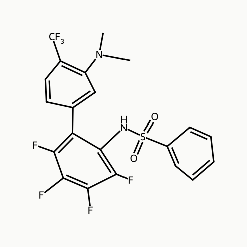 CN(C)c1cc(-c2c(F)c(F)c(F)c(F)c2NS(=O)(=O)c2ccccc2)ccc1C(F)(F)F